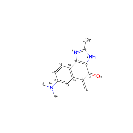 C=C1C(=O)c2[nH]c(C(C)C)nc2-c2ccc(N(C)C)cc21